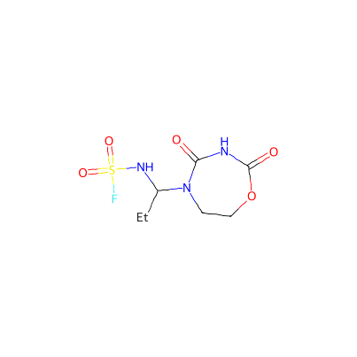 CCC(NS(=O)(=O)F)N1CCOC(=O)NC1=O